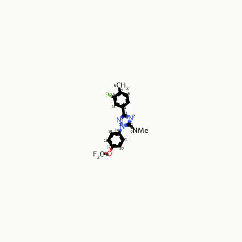 CNc1nc(-c2ccc(C)c(F)c2)nn1-c1ccc(OC(F)(F)F)cc1